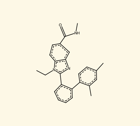 CCn1c(-c2ccccc2-c2ccc(C)cc2C)nc2cc(C(=O)NC)ccc21